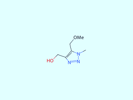 COCc1c(CO)nnn1C